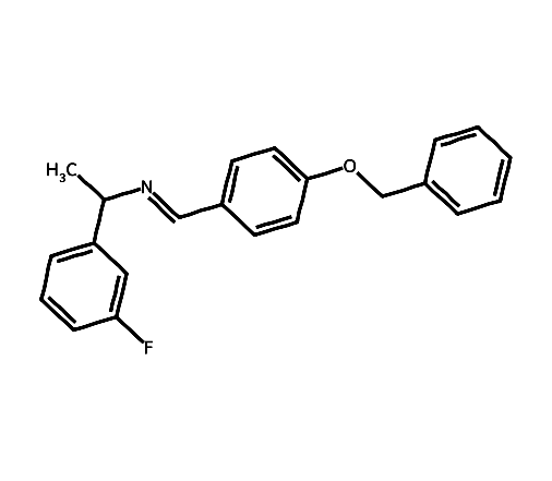 CC(N=Cc1ccc(OCc2ccccc2)cc1)c1cccc(F)c1